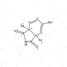 [2H]C1=CC2([2H])C(=O)NC(=O)C2([2H])C=C1